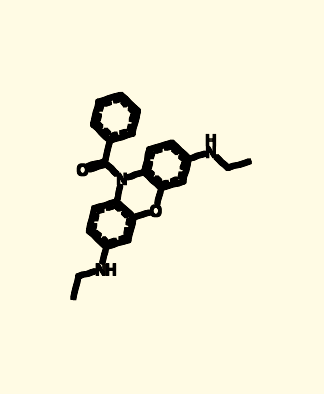 CCNc1ccc2c(c1)Oc1cc(NCC)ccc1N2C(=O)c1ccccc1